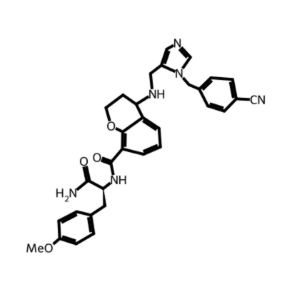 COc1ccc(C[C@H](NC(=O)c2cccc3c2OCCC3NCc2cncn2Cc2ccc(C#N)cc2)C(N)=O)cc1